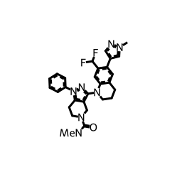 CNC(=O)N1CCc2c(c(N3CCCc4cc(-c5cnn(C)c5)c(C(F)F)cc43)nn2-c2ccccc2)C1